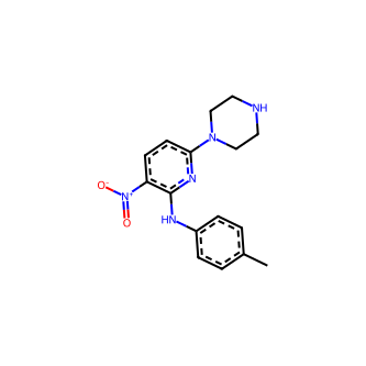 Cc1ccc(Nc2nc(N3CCNCC3)ccc2[N+](=O)[O-])cc1